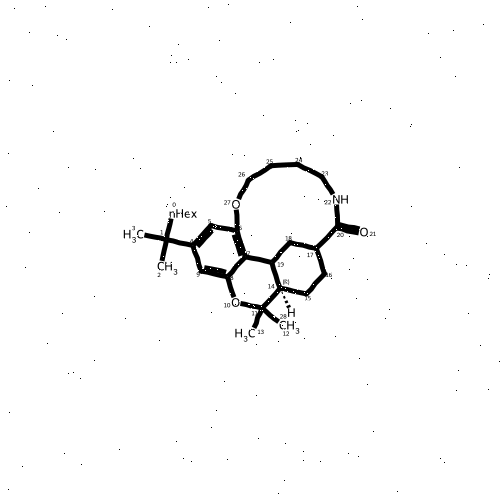 CCCCCCC(C)(C)c1cc2c3c(c1)OC(C)(C)[C@@H]1CCC(CC31)C(=O)NCCCCO2